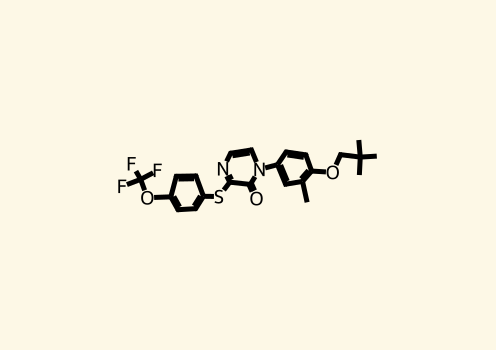 Cc1cc(-n2ccnc(Sc3ccc(OC(F)(F)F)cc3)c2=O)ccc1OCC(C)(C)C